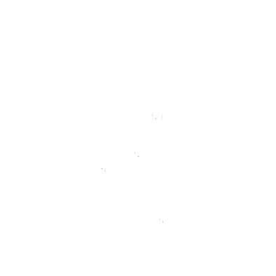 O=C(N=S1(=O)NC(O)c2cnccc21)Nc1c2c(cc3c1CCC3)CCC2